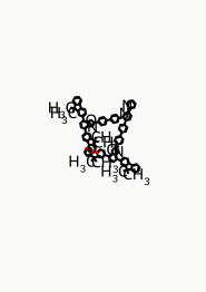 CC1(C)c2ccccc2-c2ccc(-c3ccc(-c4ccc5c(c4)C(C)(C)c4ccccc4-5)c4oc(-c5ccc(-c6ccc(-c7ccc(-c8ccccn8)nc7-c7ccc(-c8ccc(-c9nc%10c(-c%11ccc%12c(c%11)C(C)(C)c%11ccccc%11-%12)ccc(-c%11ccc%12c(c%11)C(C)(C)c%11ccccc%11-%12)c%10o9)cc8)cc7)cc6)cc5)nc34)cc21